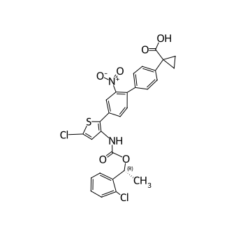 C[C@@H](OC(=O)Nc1cc(Cl)sc1-c1ccc(-c2ccc(C3(C(=O)O)CC3)cc2)c([N+](=O)[O-])c1)c1ccccc1Cl